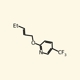 CC/C=C/COc1ccc(C(F)(F)F)cn1